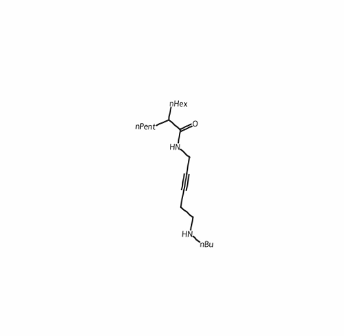 CCCCCCC(CCCCC)C(=O)NCC#CCCNCCCC